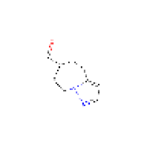 O=CC1CCc2ccnn2CC1